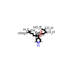 CCCCCCCC(C)(C)CCCC(C)(C)C(C)(OC(=O)CC(C(=O)O)C(CC(=O)O)C(=O)O)C1CCNCC1